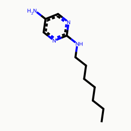 CCCCCCCNc1ncc(N)cn1